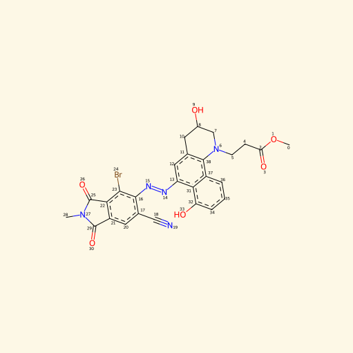 COC(=O)CCN1CC(O)Cc2cc(/N=N/c3c(C#N)cc4c(c3Br)C(=O)N(C)C4=O)c3c(O)cccc3c21